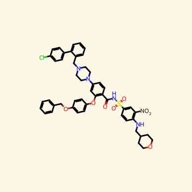 O=C(NS(=O)(=O)c1ccc(NCC2CCOCC2)c([N+](=O)[O-])c1)c1ccc(N2CCN(Cc3ccccc3-c3ccc(Cl)cc3)CC2)cc1Oc1ccc(OCc2ccccc2)cc1